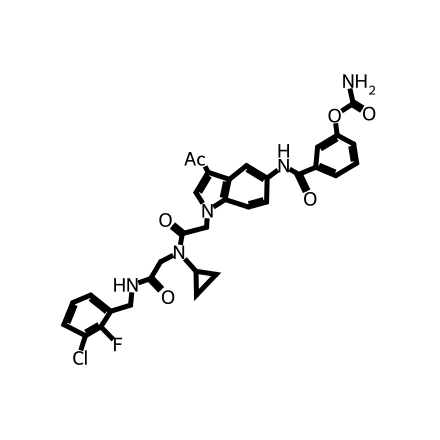 CC(=O)c1cn(CC(=O)N(CC(=O)NCc2cccc(Cl)c2F)C2CC2)c2ccc(NC(=O)c3cccc(OC(N)=O)c3)cc12